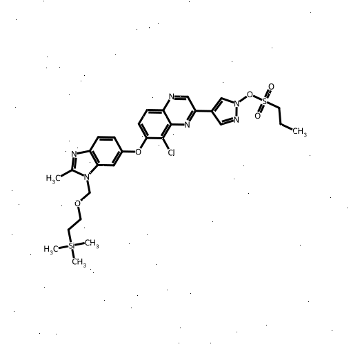 CCCS(=O)(=O)On1cc(-c2cnc3ccc(Oc4ccc5nc(C)n(COCC[Si](C)(C)C)c5c4)c(Cl)c3n2)cn1